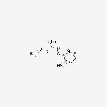 CC(C)(C)C(CNC(=O)O)SCc1ncccc1S